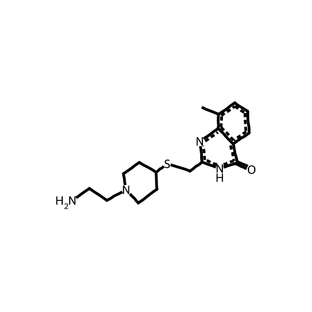 Cc1cccc2c(=O)[nH]c(CSC3CCN(CCN)CC3)nc12